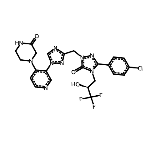 O=C1CN(c2ccncc2-n2cnc(Cn3nc(-c4ccc(Cl)cc4)n(C[C@H](O)C(F)(F)F)c3=O)n2)CCN1